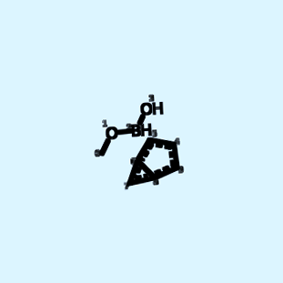 COBO.c1cc2cc-2c1